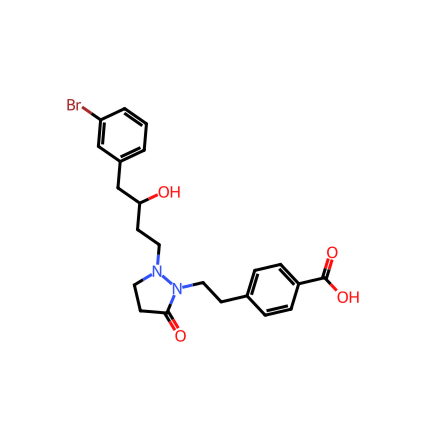 O=C(O)c1ccc(CCN2C(=O)CCN2CCC(O)Cc2cccc(Br)c2)cc1